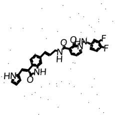 O=C1Nc2cc(C=CCNC(=O)c3cccn(Nc4ccc(F)c(F)c4)c3=O)ccc2C1=Cc1ccc[nH]1